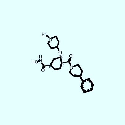 CCN1CCC(O[C@H]2C[C@H](C(=O)NO)CC[C@@H]2C(=O)N2CC=C(c3ccccc3)CC2)CC1